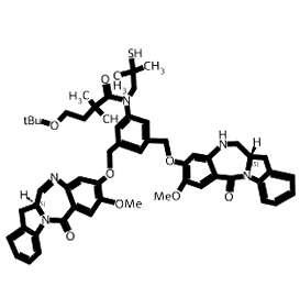 COc1cc2c(cc1OCc1cc(COc3cc4c(cc3OC)C(=O)N3c5ccccc5C[C@H]3CN4)cc(N(CC(C)(C)S)C(=O)C(C)(C)CCOC(C)(C)C)c1)N=C[C@@H]1Cc3ccccc3N1C2=O